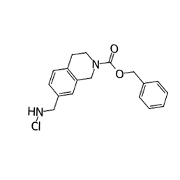 O=C(OCc1ccccc1)N1CCc2ccc(CNCl)cc2C1